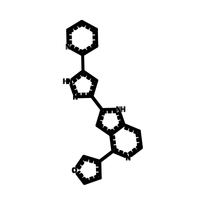 c1ccc(-c2cc(-c3cc4c(-c5ccoc5)nccc4[nH]3)n[nH]2)nc1